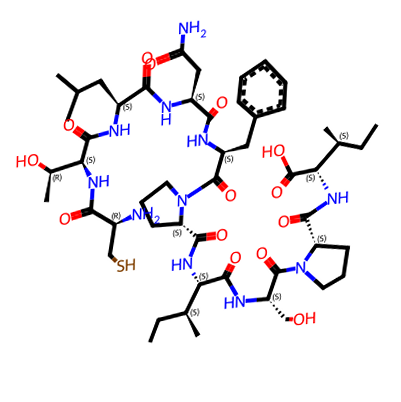 CC[C@H](C)[C@H](NC(=O)[C@@H]1CCCN1C(=O)[C@H](CO)NC(=O)[C@@H](NC(=O)[C@@H]1CCCN1C(=O)[C@H](Cc1ccccc1)NC(=O)[C@H](CC(N)=O)NC(=O)[C@H](CC(C)C)NC(=O)[C@@H](NC(=O)[C@@H](N)CS)[C@@H](C)O)[C@@H](C)CC)C(=O)O